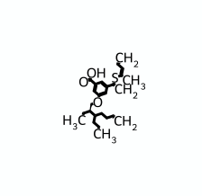 C=C/C=C(/C)SC(=C)c1cc(OC[C@H](CC)C(CCC)CCC=C)cc(C(=O)O)c1